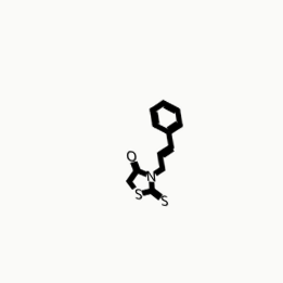 O=C1CSC(=S)N1CC=Cc1ccccc1